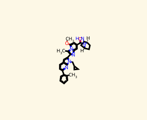 COc1cc(C(=O)N2[C@H]3CC[C@@H]2[C@H](N)C3)cc2nc(-c3cc4ccc(-c5ccccc5C)nc4n3CC3CC3)c(C)n12